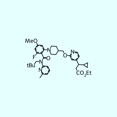 CCOC(=O)CC(c1ccnc(OCC2CCN(c3cc(OC)cc(F)c3C(=O)N(CC(C)(C)C)c3cccc(C)n3)CC2)c1)C1CC1